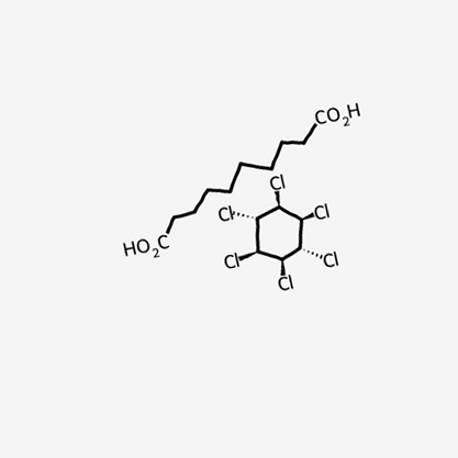 Cl[C@H]1[C@H](Cl)[C@@H](Cl)[C@@H](Cl)[C@H](Cl)[C@H]1Cl.O=C(O)CCCCCCCCC(=O)O